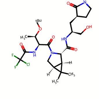 C[C@@H](OC(C)(C)C)[C@H](NC(=O)C(F)(F)Cl)C(=O)N1C[C@H]2[C@@H]([C@H]1C(=O)N[C@H](CO)C[C@@H]1CCNC1=O)C2(C)C